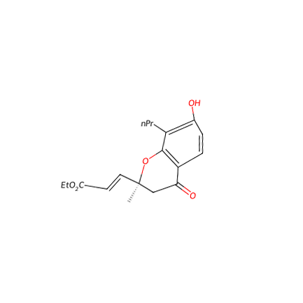 CCCc1c(O)ccc2c1O[C@](C)(/C=C/C(=O)OCC)CC2=O